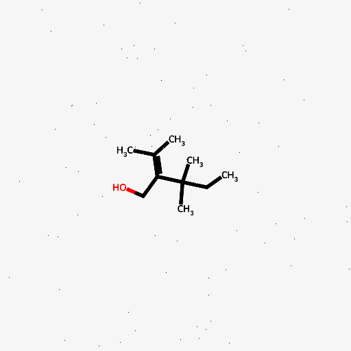 CCC(C)(C)C(CO)=C(C)C